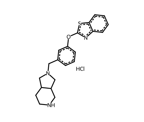 Cl.c1cc(CN2CC3CCNCC3C2)cc(Oc2nc3ccccc3s2)c1